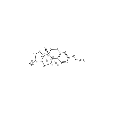 CCOc1ccc2c(c1)CC[C@@H]1[C@@H]2CCC2C(C)CC[C@H]21